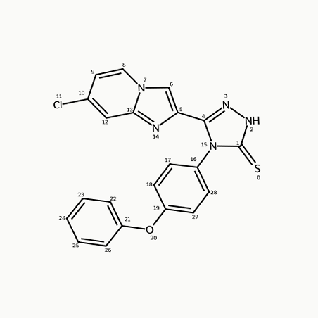 S=c1[nH]nc(-c2cn3ccc(Cl)cc3n2)n1-c1ccc(Oc2ccccc2)cc1